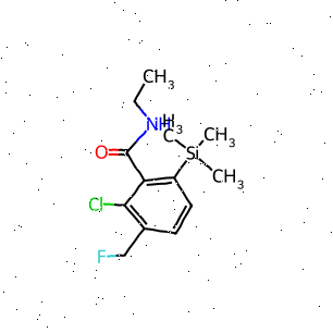 CCNC(=O)c1c([Si](C)(C)C)ccc(CF)c1Cl